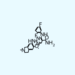 COc1cc2c(cc1Nc1ncc(C(N)=O)c(Nc3cc(F)ccc3F)n1)CN(C)CC2